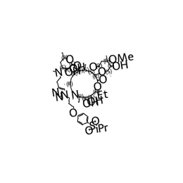 CC[C@H]1OC(=O)[C@H](C)[C@@H](O[C@H]2C[C@@](C)(OC)[C@@H](O)[C@H](C)O2)[C@H](C)[C@@H](O[C@@H]2O[C@H](C)C[C@H](N(C)CCc3cn(CCCOc4ccc(S(=O)(=O)C(C)C)cc4)nn3)[C@H]2O)[C@](C)(O)C[C@@H](C)CN(C)[C@H](C)[C@@H](O)[C@]1(C)O